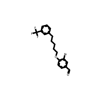 O=Cc1ccc(OCCCCCc2cccc(C(F)(F)F)c2)c(Br)c1